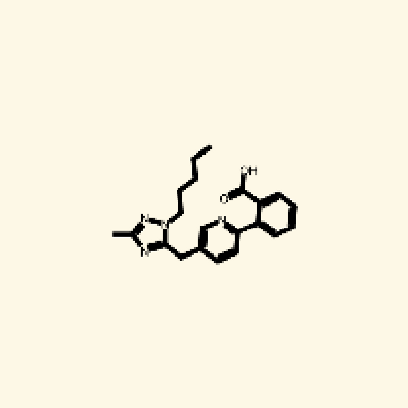 CCCCCn1nc(C)nc1Cc1ccc(-c2ccccc2C(=O)O)nc1